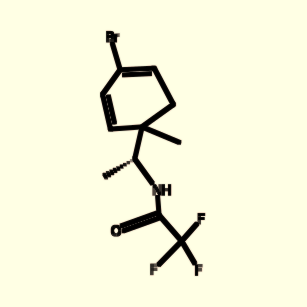 C[C@@H](NC(=O)C(F)(F)F)C1(C)C=CC(Br)=CC1